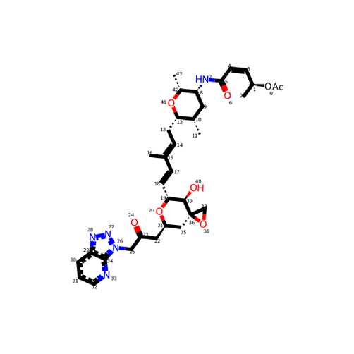 CC(=O)O[C@@H](C)/C=C\C(=O)N[C@@H]1C[C@H](C)[C@H](C/C=C(C)/C=C/[C@H]2O[C@H](CC(=O)Cn3nnc4cccnc43)C[C@@]3(CO3)[C@@H]2O)O[C@@H]1C